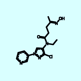 CCN(C(=O)CCC(C)=NO)c1cn(-c2cccnc2)nc1Cl